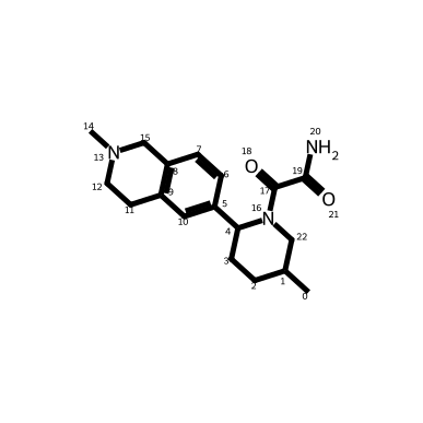 CC1CCC(c2ccc3c(c2)CCN(C)C3)N(C(=O)C(N)=O)C1